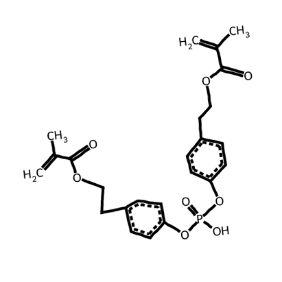 C=C(C)C(=O)OCCc1ccc(OP(=O)(O)Oc2ccc(CCOC(=O)C(=C)C)cc2)cc1